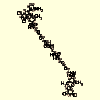 Cc1cc(S(=O)(=O)NCCOCCOCCNC(=O)NCCCCNC(=O)NCCOCCOCCNS(=O)(=O)c2cc(C)c(O[C@H]3c4cc(Cl)cc(Cl)c4C[C@@H]3N3CCC[C@@H](N)C3)c(C)c2)cc(C)c1O[C@@H]1CCc2c(Cl)cc(Cl)cc21